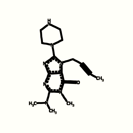 CC#CCn1c(N2CCNCC2)nc2nc(N(C)C)n(C)c(=O)c21